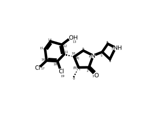 C[C@H]1C(=O)N(C2CNC2)C[C@H]1c1c(O)ccc(Cl)c1Cl